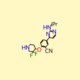 CC(C)Nc1nccc(-c2ccc(OC3CCNCC3(F)F)c(C#N)c2)n1